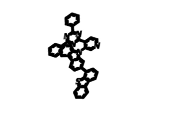 c1ccc(-c2nc(-c3ccccc3)nc(-c3ccncc3-n3c4ccccc4c4ccc(-c5cccc6c5sc5ccccc56)cc43)n2)cc1